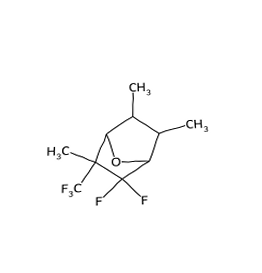 CC1C(C)C2OC1C(F)(F)C2(C)C(F)(F)F